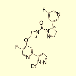 CCn1nccc1-c1cc(OC2CN(C(=O)N3N=CC[C@H]3c3cncc(F)c3)C2)c(F)cn1